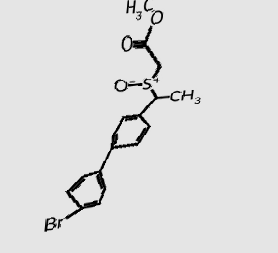 COC(=O)C[S+]([O-])C(C)c1ccc(-c2ccc(Br)cc2)cc1